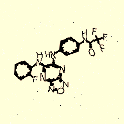 O=C(Nc1ccc(Nc2nc3nonc3nc2Nc2ccccc2F)cc1)C(F)(F)F